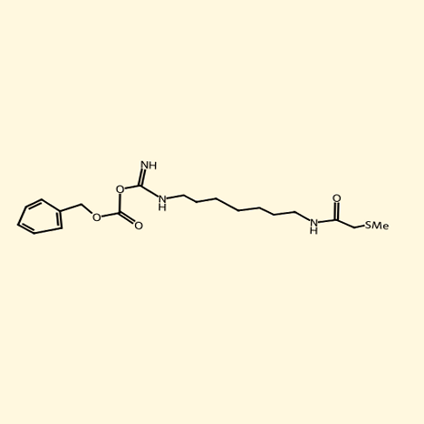 CSCC(=O)NCCCCCCCNC(=N)OC(=O)OCc1ccccc1